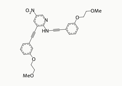 COCCOc1cccc(C#CNc2ncc([N+](=O)[O-])cc2C#Cc2cccc(OCCOC)c2)c1